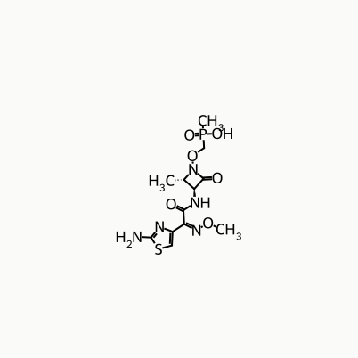 CO/N=C(\C(=O)N[C@@H]1C(=O)N(OCP(C)(=O)O)[C@H]1C)c1csc(N)n1